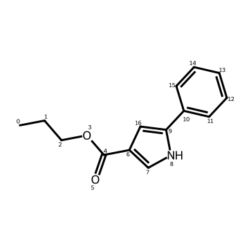 CCCOC(=O)c1c[nH]c(-c2ccccc2)c1